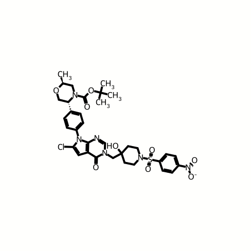 C[C@H]1CN(C(=O)OC(C)(C)C)[C@H](c2ccc(-n3c(Cl)cc4c(=O)n(CC5(O)CCN(S(=O)(=O)c6ccc([N+](=O)[O-])cc6)CC5)cnc43)cc2)CO1